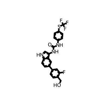 O=C(Nc1ccc(SC(F)(F)F)cc1)Nc1c[nH]c2ccc(-c3ccc(CO)c(F)c3)cc12